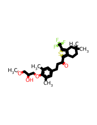 COCC(O)COc1c(C)cc(CCC(=O)c2sc(C(F)(F)F)c3c2CCC(C)(C)C3)cc1C